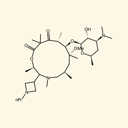 CCCN1CC(C2[C@@H](C)OC(=O)C(C)(C)C(=O)[C@H](C)[C@@H](O[C@@H]3O[C@H](C)C[C@H](N(C)C)[C@H]3O)[C@](C)(OC)C[C@@H](C)CN2C)C1